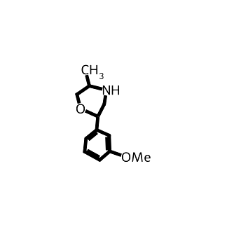 COc1cccc(C2CNC(C)CO2)c1